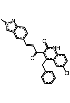 Cn1cc2cc(/C=C/C(=O)c3c(Cc4ccccc4)c4cc(Cl)ccc4[nH]c3=O)ccc2n1